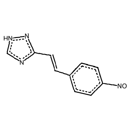 O=Nc1ccc(/C=C/c2nc[nH]n2)cc1